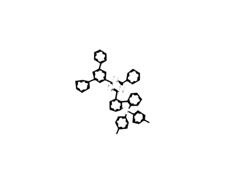 Cc1ccc([Si]2(c3ccc(C)cc3)c3ccccc3-c3c(-c4nc(-c5ccccc5)nc(-c5cc(-c6ccccc6)cc(-c6ccccc6)c5)n4)cccc32)cc1